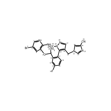 CC(Oc1cc(Br)cnc1N)c1cc(F)ccc1-c1c(Cn2cnc(C#N)c2)cnn1C